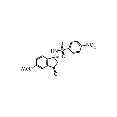 COc1ccc2c(c1)C(=O)C[C@H]2NS(=O)(=O)c1ccc([N+](=O)[O-])cc1